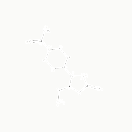 CCC1CC(=O)NN1C1CCN(C(=O)O)CC1